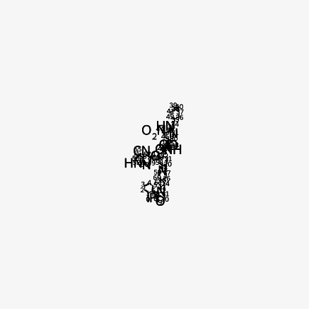 CC(C)c1ccccc1[C@@H]1COCCN1C1CC2(CCN(c3ccc(C(=O)NS(=O)(=O)c4cnc(NCC5CCC(C)(C)CC5)c([N+](=O)[O-])c4)c(Oc4cnc5[nH]cc(C#N)c5c4)c3)CC2)C1